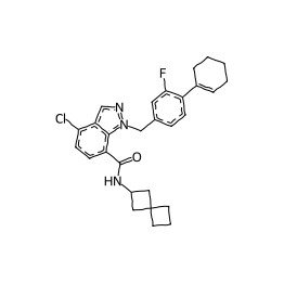 O=C(NC1CC2(CCC2)C1)c1ccc(Cl)c2cnn(Cc3ccc(C4=CCCCC4)c(F)c3)c12